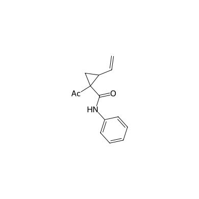 C=CC1CC1(C(C)=O)C(=O)Nc1ccccc1